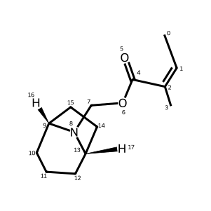 C/C=C(/C)C(=O)OCN1[C@@H]2CCC[C@H]1CC2